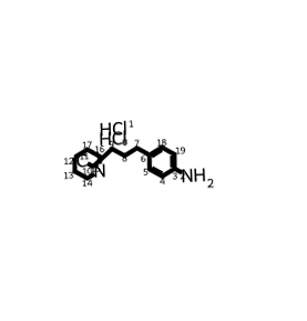 Cl.Cl.Nc1ccc(CCCC2CC3CCN2CC3)cc1